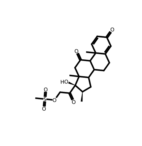 C[C@@H]1CC2C3CCC4=CC(=O)C=CC4(C)C3C(=O)CC2(C)[C@@]1(O)C(=O)COS(C)(=O)=O